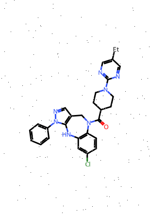 CCc1cnc(N2CCC(C(=O)N3Cc4cnn(-c5ccccc5)c4Nc4cc(Cl)ccc43)CC2)nc1